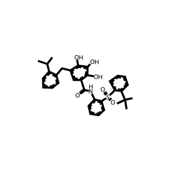 CC(C)c1ccccc1Cc1cc(C(=O)Nc2ccccc2S(=O)(=O)c2ccccc2C(C)(C)C)c(O)c(O)c1O